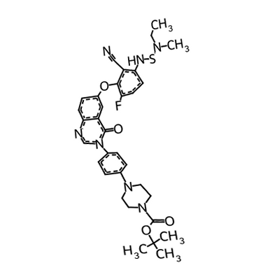 CCN(C)SNc1ccc(F)c(Oc2ccc3ncn(-c4ccc(N5CCN(C(=O)OC(C)(C)C)CC5)cc4)c(=O)c3c2)c1C#N